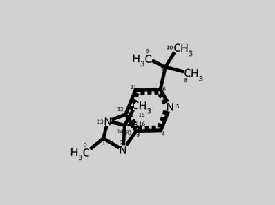 CC1N2c3cnc(C(C)(C)C)cc3N1[C@H]2C